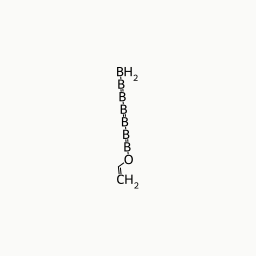 BB=BB=BB=BOC=C